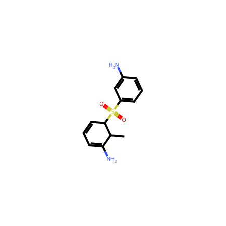 CC1C(N)=CC=CC1S(=O)(=O)c1cccc(N)c1